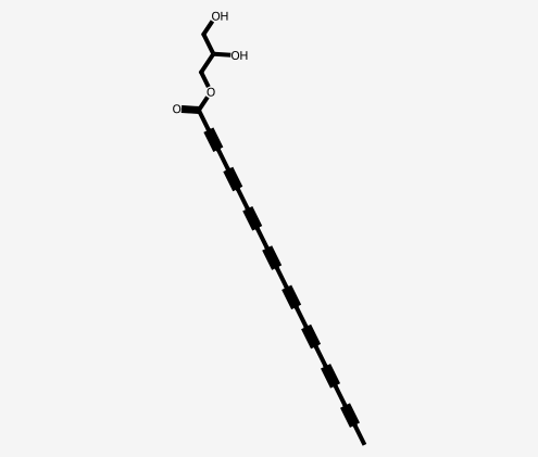 CC#CC#CC#CC#CC#CC#CC#CC#CC(=O)OCC(O)CO